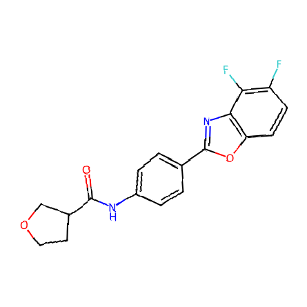 O=C(Nc1ccc(-c2nc3c(F)c(F)ccc3o2)cc1)C1CCOC1